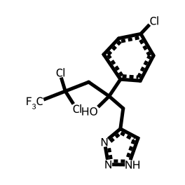 OC(Cc1c[nH]nn1)(CC(Cl)(Cl)C(F)(F)F)c1ccc(Cl)cc1